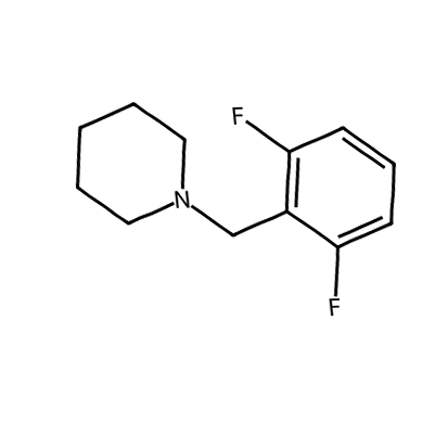 Fc1cccc(F)c1CN1CCCCC1